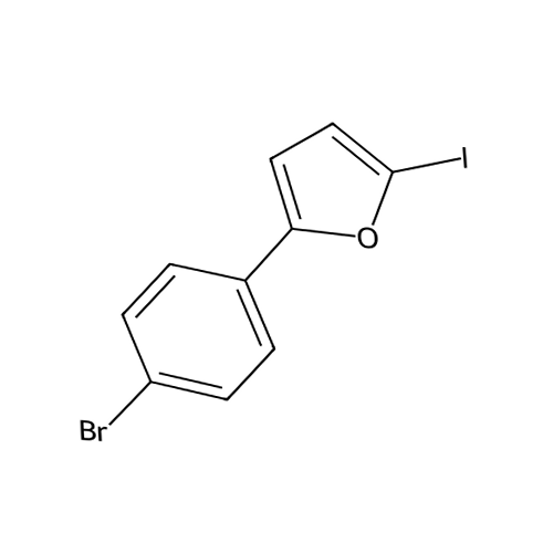 Brc1ccc(-c2ccc(I)o2)cc1